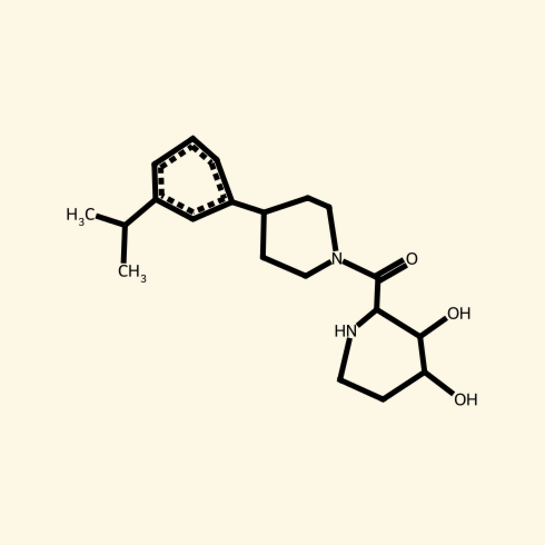 CC(C)c1cccc(C2CCN(C(=O)C3NCCC(O)C3O)CC2)c1